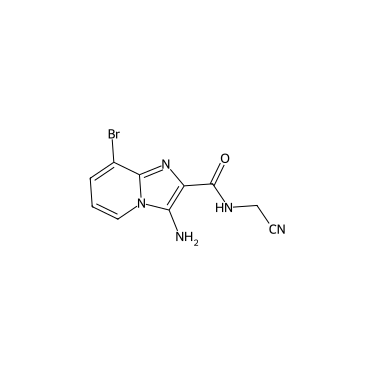 N#CCNC(=O)c1nc2c(Br)cccn2c1N